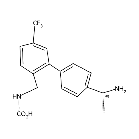 C[C@@H](N)c1ccc(-c2cc(C(F)(F)F)ccc2CNC(=O)O)cc1